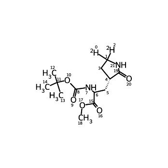 [2H]C1([2H])C[C@@H](CC(NC(=O)OC(C)(C)C)C(=O)OC)C(=O)N1